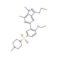 CCCc1nn(C)c2c(C)nc(-c3cc(S(=O)(=O)N4CCN(C)CC4)ccc3OCC)nc12